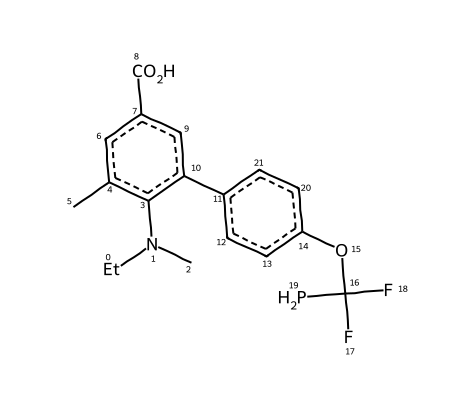 CCN(C)c1c(C)cc(C(=O)O)cc1-c1ccc(OC(F)(F)P)cc1